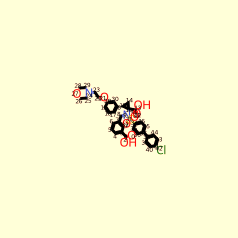 O=C(O)c1cccc(CN([C@]2(C(=O)O)C[C@H]2c2cccc(OCCN3CCOCC3)c2)S(=O)(=O)c2ccc(-c3ccc(Cl)cc3)cc2)c1